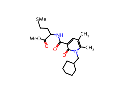 COC(=O)C(CCSC)NC(=O)c1cc(C)c(C)n(CC2CCCCC2)c1=O